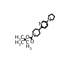 CC(C)(C)OC(=O)N1CCC(c2ccc(N3CCCC3)cn2)CC1